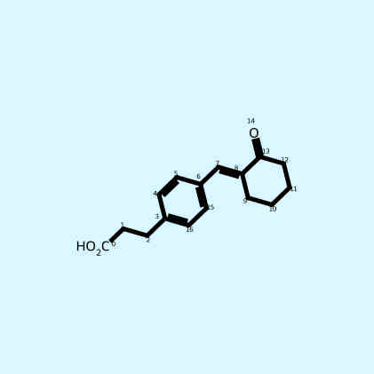 O=C(O)CCc1ccc(C=C2CCCCC2=O)cc1